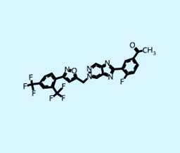 CC(=O)c1ccc(F)c(-c2nc3cnn(Cc4cc(-c5ccc(C(F)(F)F)cc5C(F)(F)F)no4)cc-3n2)c1